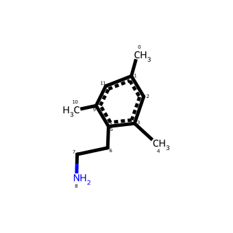 Cc1cc(C)c(CCN)c(C)c1